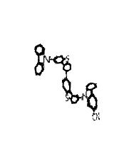 N#Cc1ccc2c3ccccc3n(-c3ccc4sc5ccc(-c6ccc7sc8ccc(-n9c%10ccccc%10c%10ccccc%109)cc8c7c6)cc5c4c3)c2c1